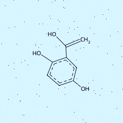 C=C(O)c1cc(O)ccc1O